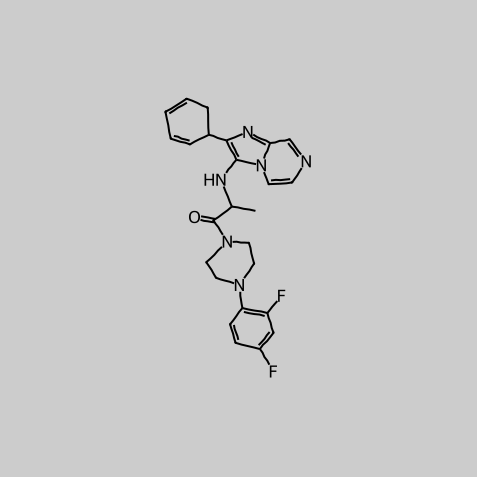 CC(Nc1c(C2C=CC=CC2)nc2cnccn12)C(=O)N1CCN(c2ccc(F)cc2F)CC1